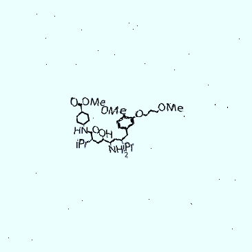 COCCCOc1cc(C[C@@H](C[C@H](N)[C@@H](O)C[C@H](C(=O)N[C@H]2CC[C@H](C(=O)OC)CC2)C(C)C)C(C)C)ccc1OC